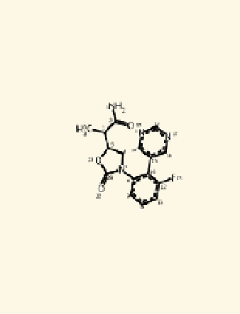 CC(C(N)=O)C1CN(c2cccc(F)c2-c2cncnc2)C(=O)O1